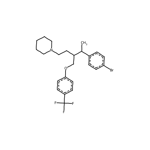 CC(c1ccc(Br)cc1)C(CCN1CCCCC1)COc1ccc(C(F)(F)F)cc1